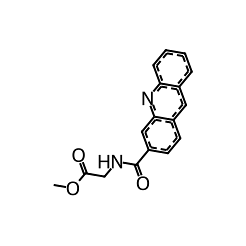 COC(=O)CNC(=O)c1ccc2cc3ccccc3nc2c1